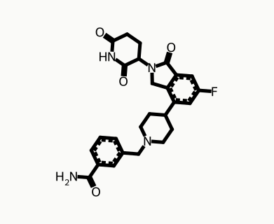 NC(=O)c1cccc(CN2CCC(c3cc(F)cc4c3CN(C3CCC(=O)NC3=O)C4=O)CC2)c1